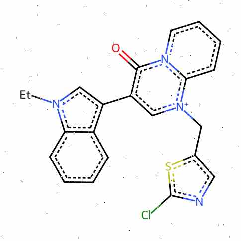 CCn1cc(-c2c[n+](Cc3cnc(Cl)s3)c3ccccn3c2=O)c2ccccc21